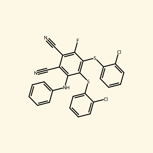 N#Cc1c(F)c(Sc2ccccc2Cl)c(Sc2ccccc2Cl)c(Nc2ccccc2)c1C#N